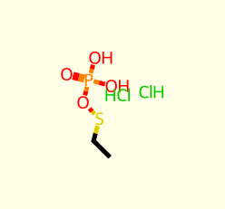 CCSOP(=O)(O)O.Cl.Cl